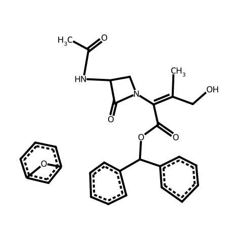 CC(=O)NC1CN(C(C(=O)OC(c2ccccc2)c2ccccc2)=C(C)CO)C1=O.c1cc2cc(c1)O2